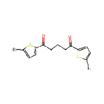 CCc1ccc(C(=O)CCCC(=O)c2ccc(CC)s2)s1